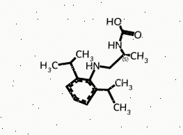 CC(C)c1cccc(C(C)C)c1NC[C@H](C)NC(=O)O